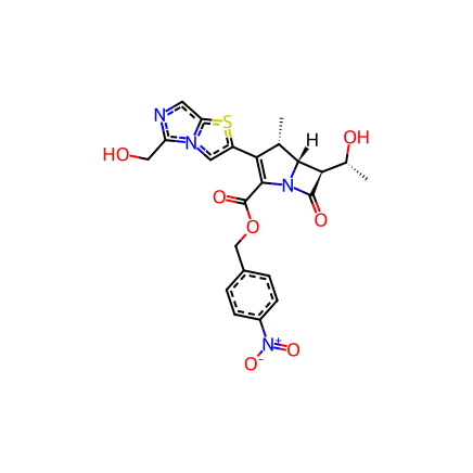 C[C@@H](O)[C@H]1C(=O)N2C(C(=O)OCc3ccc([N+](=O)[O-])cc3)=C(c3cn4c(CO)ncc4s3)[C@H](C)[C@H]12